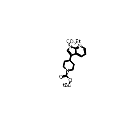 CCOC(=O)n1cc(C2CCN(C(=O)OC(C)(C)C)CC2)c2cccnc21